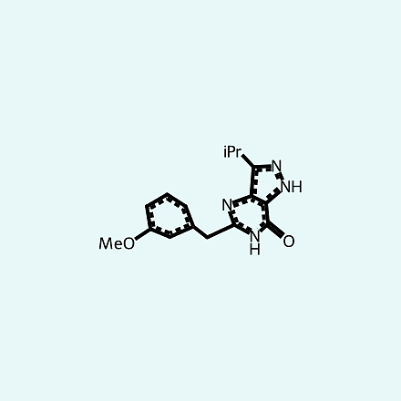 COc1cccc(Cc2nc3c(C(C)C)n[nH]c3c(=O)[nH]2)c1